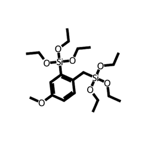 CCO[Si](Cc1ccc(OC)cc1[Si](OCC)(OCC)OCC)(OCC)OCC